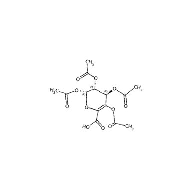 CC(=O)OC1=C(C(=O)O)O[C@H](OC(C)=O)[C@H](OC(C)=O)[C@H]1OC(C)=O